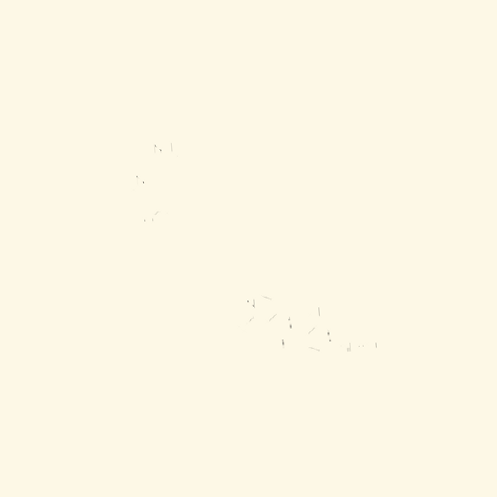 CCCCCc1ccc(-c2cc3ccn(CCCCCCCCCOC(=O)C(C)(C)C(N)CC(C)(C)N)c(=O)c3oc2=O)c(C(F)(F)F)c1